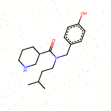 CC(C)CCN(Cc1ccc(O)cc1)C(=O)C1CCCNC1